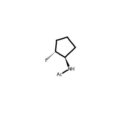 CC(=O)N[C@@H]1CCC[C@H]1I